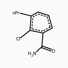 CCCc1cccc(C(N)=O)c1Cl